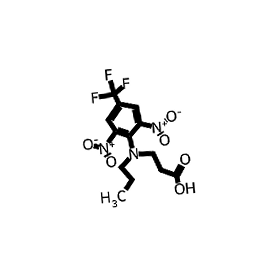 CCCN(CCC(=O)O)c1c([N+](=O)[O-])cc(C(F)(F)F)cc1[N+](=O)[O-]